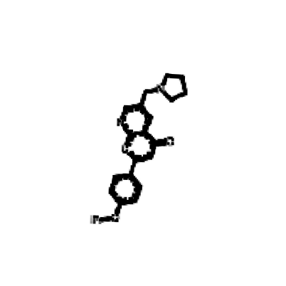 CC(C)Oc1ccc(-c2cc(=O)c3cc(CN4CCCC4)cnc3o2)cc1